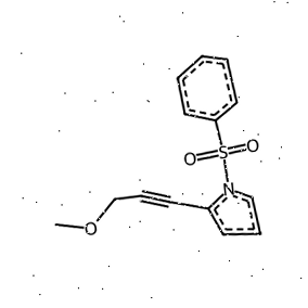 COCC#Cc1cccn1S(=O)(=O)c1ccccc1